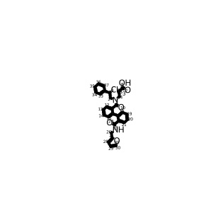 CC(CN(CCC(=O)O)C(=O)c1ccccc1-c1ccccc1C(=O)NCc1ccco1)c1ccccc1